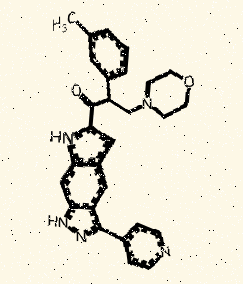 Cc1cccc(C(CN2CCOCC2)C(=O)c2cc3cc4c(-c5ccncc5)n[nH]c4cc3[nH]2)c1